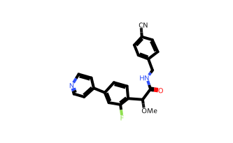 COC(C(=O)NCc1ccc(C#N)cc1)c1ccc(-c2ccncc2)cc1F